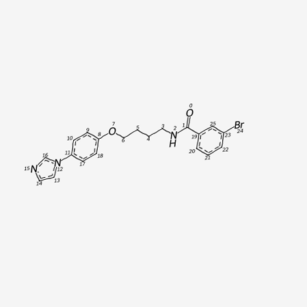 O=C(NCCCCOc1ccc(-n2ccnc2)cc1)c1cccc(Br)c1